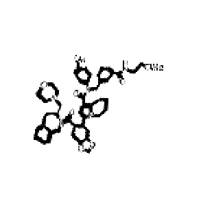 COCCNC(=O)c1cccc(CN(C(=O)c2cc(-c3cc4c(cc3C(=O)N3Cc5ccccc5C[C@H]3CN3CCOCC3)OCO4)n3c2CCCC3)c2ccc(O)cc2)c1